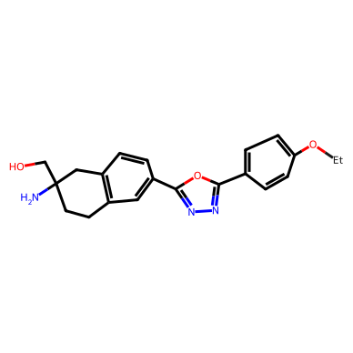 CCOc1ccc(-c2nnc(-c3ccc4c(c3)CCC(N)(CO)C4)o2)cc1